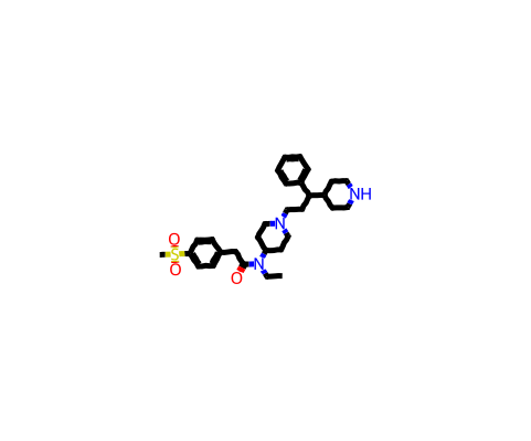 CCN(C(=O)Cc1ccc(S(C)(=O)=O)cc1)C1CCN(CCC(c2ccccc2)C2CCNCC2)CC1